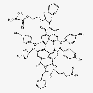 C=C(C)C(=O)OCCOC(=O)C(Cc1ccccc1)N1C(=O)c2cc(Oc3ccc(C(C)(C)C)cc3)c3c4c(Oc5ccc(C(C)(C)C)cc5)cc5c6c(cc(Oc7ccc(C(C)(C)C)cc7)c(c7c(Oc8ccc(C(C)(C)C)cc8)cc(c2c37)C1=O)c64)C(=O)N(C(Cc1ccccc1)C(=O)OCCOC(=O)C(C)C)C5=O